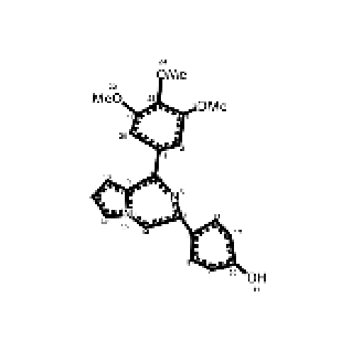 COc1cc(-c2nc(-c3ccc(O)cc3)cn3cccc23)cc(OC)c1OC